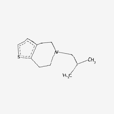 C[C](C)CN1CCc2sccc2C1